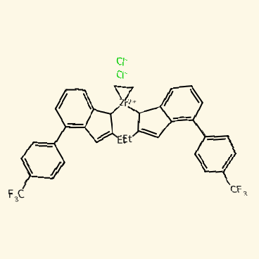 CCC1=Cc2c(-c3ccc(C(F)(F)F)cc3)cccc2[CH]1[Zr+2]1([CH]2C(CC)=Cc3c(-c4ccc(C(F)(F)F)cc4)cccc32)[CH2][CH2]1.[Cl-].[Cl-]